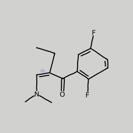 CC/C(=C/N(C)C)C(=O)c1cc(F)ccc1F